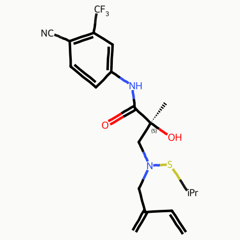 C=CC(=C)CN(C[C@](C)(O)C(=O)Nc1ccc(C#N)c(C(F)(F)F)c1)SC(C)C